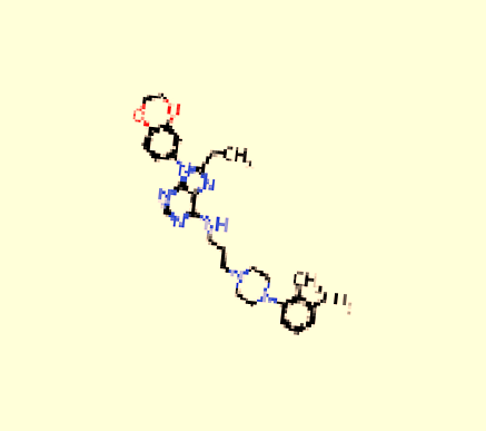 CCc1nc2c(NCCCN3CCN(c4cccc(C)c4C)CC3)ncnc2n1-c1ccc2c(c1)OCCO2